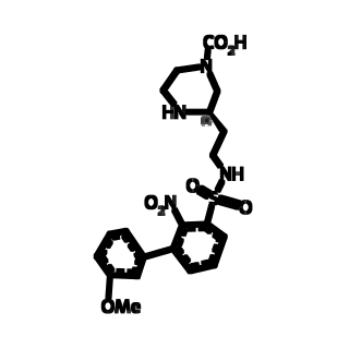 COc1cccc(-c2cccc(S(=O)(=O)NCC[C@@H]3CN(C(=O)O)CCN3)c2[N+](=O)[O-])c1